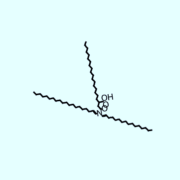 CCCCCCCCCCCCCCC=CN(C=CCCCCCCCCCCCCCCCCCC)C(=O)CC(CCCCCCCCCCCCCCCCCC)C(=O)O